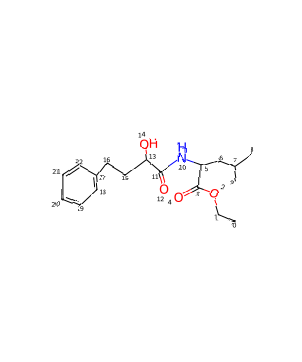 CCOC(=O)C(CC(C)C)NC(=O)C(O)CCc1ccccc1